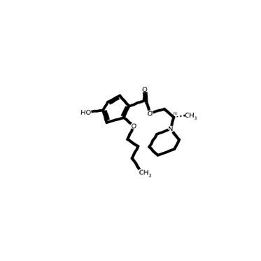 CCCCOc1cc(O)ccc1C(=O)OC[C@H](C)N1CCCCC1